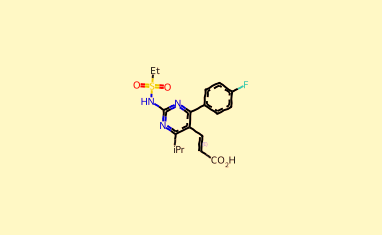 CCS(=O)(=O)Nc1nc(-c2ccc(F)cc2)c(/C=C/C(=O)O)c(C(C)C)n1